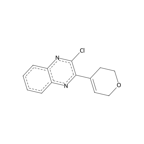 Clc1nc2ccccc2nc1C1=CCOCC1